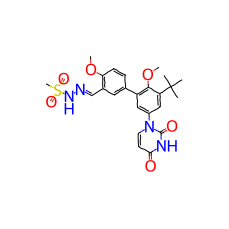 COc1ccc(-c2cc(-n3ccc(=O)[nH]c3=O)cc(C(C)(C)C)c2OC)cc1C=NNS(C)(=O)=O